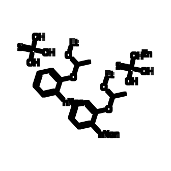 CCCCCCCCCc1ccccc1OC(C)OCC.CCCCCCCCCc1ccccc1OC(C)OCC.OP(O)(O)=S.OP(O)(O)=S.[Zn]